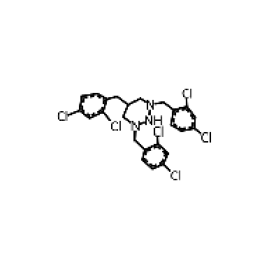 Clc1ccc(CC2CN(Cc3ccc(Cl)cc3Cl)NN(Cc3ccc(Cl)cc3Cl)C2)c(Cl)c1